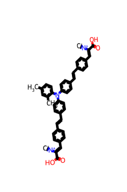 [C-]#[N+]/C(=C\c1ccc(/C=C/c2ccc(N(c3ccc(/C=C/c4ccc(/C=C(\[N+]#[C-])C(=O)O)cc4)cc3)c3ccc(C)cc3C)cc2)cc1)C(=O)O